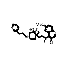 COc1ccc2ncc(Cl)c([C@H](F)CCC3(CC(=O)O)CCN(CCCc4cccnc4)CC3)c2c1